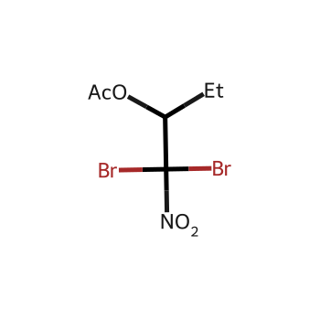 CCC(OC(C)=O)C(Br)(Br)[N+](=O)[O-]